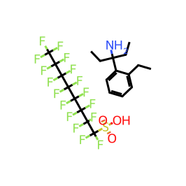 CCc1ccccc1C(N)(CC)CC.O=S(=O)(O)C(F)(F)C(F)(F)C(F)(F)C(F)(F)C(F)(F)C(F)(F)C(F)(F)C(F)(F)F